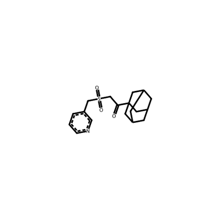 O=C(CS(=O)(=O)Cc1cccnc1)C12CC3CC(CC(C3)C1)C2